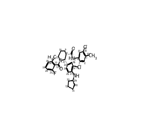 Cc1ccc(NC(=O)[C@H]2CCCN(C(=O)c3c(C)cccc3F)[C@H]2c2ccc(NC3CCCC3)c(Cl)c2)cc1Cl